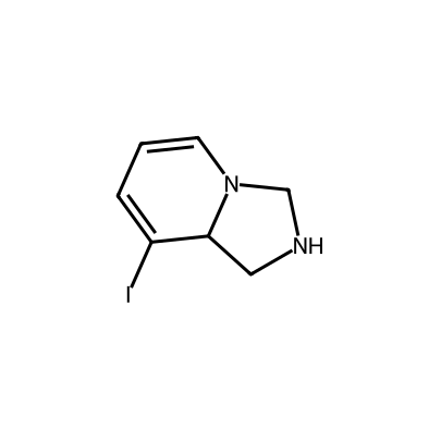 IC1=CC=CN2CNCC12